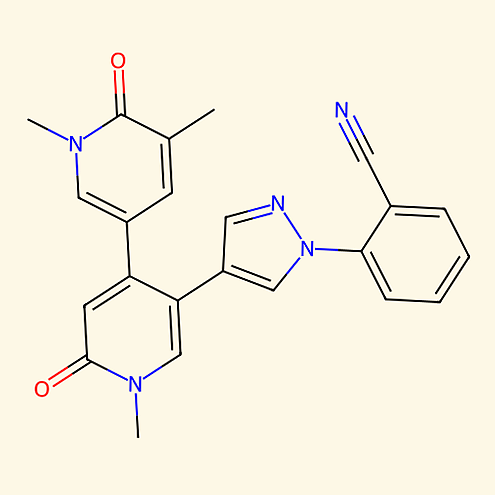 Cc1cc(-c2cc(=O)n(C)cc2-c2cnn(-c3ccccc3C#N)c2)cn(C)c1=O